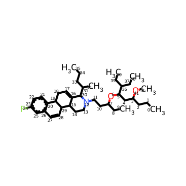 CCCC(CC(OC(CC)CCN1CCC2C(=CCC3c4ccc(F)cc4C=CC23)C1C(C)CCC)C(CC)CC)OC